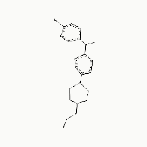 CCCC1CCC(c2ccc(C(C)c3ccc(Cl)cc3)cc2)CC1